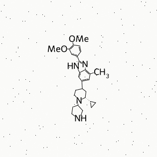 COc1ccc(-c2nc3c(C)cc(C4CCN(C5CCNCC5)[C@@H](C5CC5)C4)cc3[nH]2)cc1OC